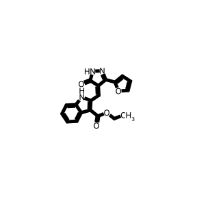 CCOC(=O)c1c(/C=C2\C(=O)NN=C2c2ccco2)[nH]c2ccccc12